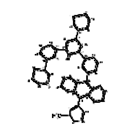 CC1C=C(c2c3ccccc3c(-c3cccc(-c4nc(-c5ccccc5)cc(-c5cccc(-c6cccnc6)c5)n4)c3)c3ccccc23)C=CC1